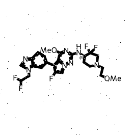 COCCN1CC[C@@H](Nc2nc(OC)c3c(-c4ccc5ncn(CC(F)F)c5c4)c(F)cn3n2)C(F)(F)C1